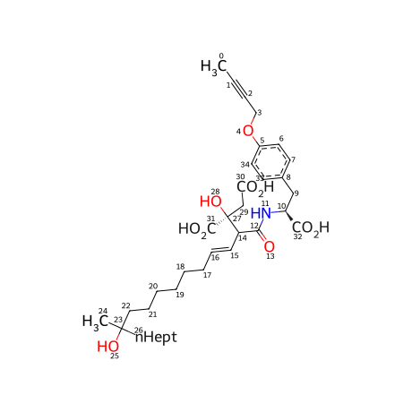 CC#CCOc1ccc(C[C@H](NC(=O)C(/C=C/CCCCCCC(C)(O)CCCCCCC)[C@@](O)(CC(=O)O)C(=O)O)C(=O)O)cc1